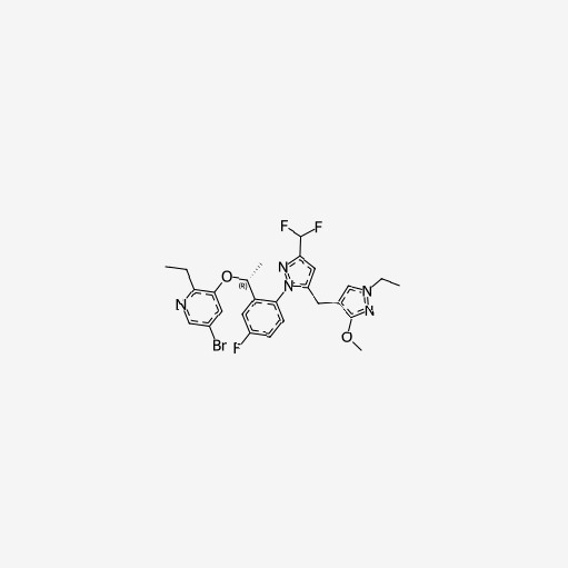 CCc1ncc(Br)cc1O[C@H](C)c1cc(F)ccc1-n1nc(C(F)F)cc1Cc1cn(CC)nc1OC